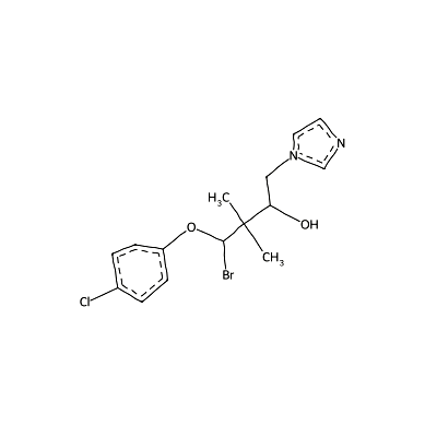 CC(C)(C(O)Cn1ccnc1)C(Br)Oc1ccc(Cl)cc1